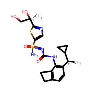 C[C@@H](c1ccc2c(c1NC(=O)N=S(N)(=O)c1cnc([C@](C)(O)CO)s1)CC2)C1CC1